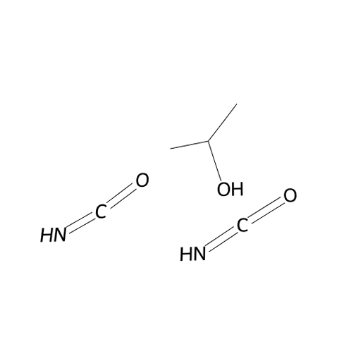 CC(C)O.N=C=O.N=C=O